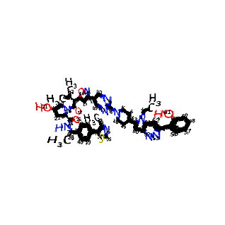 CCn1c(C2CCN(c3ncc(-c4cc([C@@H](C(=O)N5C[C@H](O)C[C@H]5C(=O)N[C@@H](C)c5ccc(-c6scnc6C)cc5)C(C)C)on4)cn3)CC2)cc2nnc(-c3ccccc3O)cc21